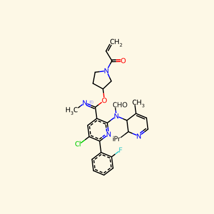 C=CC(=O)N1CCC(O/C(=N/C)c2cc(Cl)c(-c3ccccc3F)nc2N(C=O)C2C(C)=CC=NC2C(C)C)C1